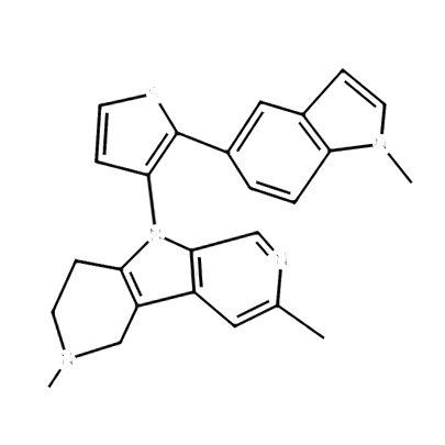 Cc1cc2c3c(n(-c4ccsc4-c4ccc5c(ccn5C)c4)c2cn1)CCN(C)C3